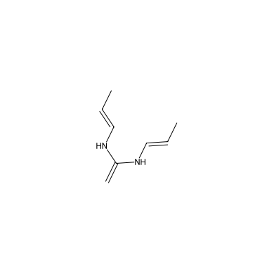 C=C(NC=CC)NC=CC